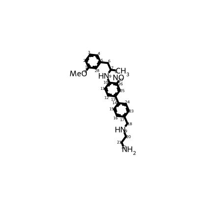 COc1cccc(CC(C)Nc2ccc(-c3ccc(CNCCN)cc3)cc2N=O)c1